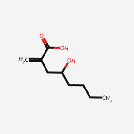 C=C(CC(O)CCCC)C(=O)O